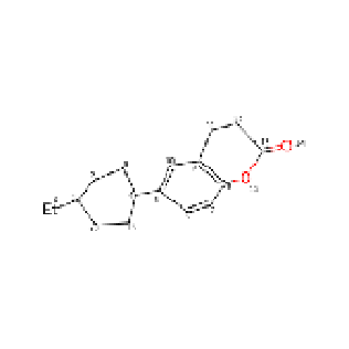 CCC1CCC(c2ccc3c(c2)CCC(=O)O3)CC1